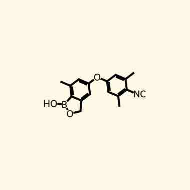 [C-]#[N+]c1c(C)cc(Oc2cc(C)c3c(c2)COB3O)cc1C